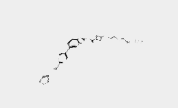 COCCNCCNC1CC(C(=O)Nc2nc3ccc(-c4cnc(CO[C@H]5CCC[C@@H]5O)nc4)cc3s2)C1